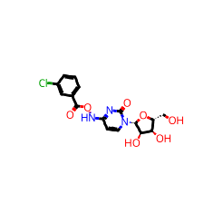 O=C(ONc1ccn([C@@H]2O[C@H](CO)[C@@H](O)[C@H]2O)c(=O)n1)c1cccc(Cl)c1